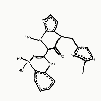 Cc1ncc(CC2C(=O)C(C3=NS(O)(O)c4ccccc4N3)N(O)c3sccc32)s1